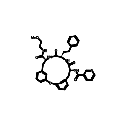 COCCNC(=O)[C@@H]1Cc2cccc(c2)Oc2cccc(c2)C[C@H](NC(=O)c2cccnc2)C(=O)N[C@@H](CCc2ccccc2)C(=O)N1